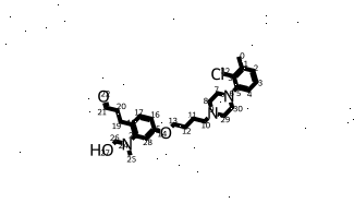 Cc1cccc(N2CCN(CCCCOc3ccc(CCC=O)c(N(C)CO)c3)CC2)c1Cl